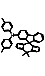 Cc1ccc(N(c2ccc(C)cc2)c2ccc3c(c2)C2(c4ccccc4-3)c3ccccc3C(C)(C)c3ccccc32)cc1